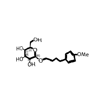 COc1ccc(CCCCO[C@@H]2O[C@H](CO)[C@@H](O)[C@@H](O)[C@H]2O)cc1